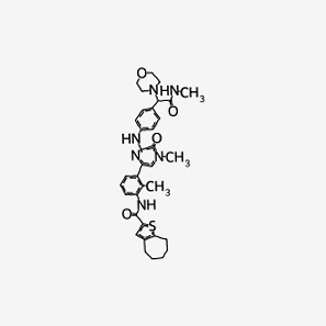 CNC(=O)C(c1ccc(Nc2nc(-c3cccc(NC(=O)c4cc5c(s4)CCCCC5)c3C)cn(C)c2=O)cc1)N1CCOCC1